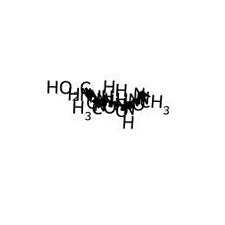 Cn1ccnc1C(=O)Nc1c[nH]c(C(=O)NCCC(=O)Nc2cn(C)c(C(=O)Nc3c[nH]c(C(=O)O)c3)n2)c1